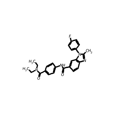 CCN(CC)C(=O)c1ccc(NC(=O)c2ccc3nc(C)n(-c4ccc(F)cc4)c3c2)cc1